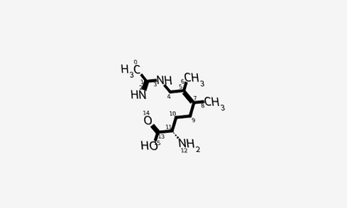 CC(=N)NC/C(C)=C(/C)CC[C@H](N)C(=O)O